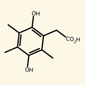 Cc1c(C)c(O)c(CC(=O)O)c(C)c1O